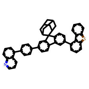 c1cc(-c2ccc(-c3ccc4c(c3)C3(c5ccc(-c6cccc7sc8ccccc8c67)cc5-4)C4CC5CC(C4)CC3C5)cc2)c2cccnc2c1